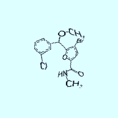 CNC(=O)c1cc(Br)c(C(OC)c2cccc(Cl)c2)o1